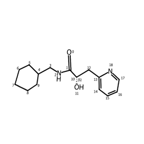 O=C(NCC1CCCCC1)[C@@H](O)Cc1ccccn1